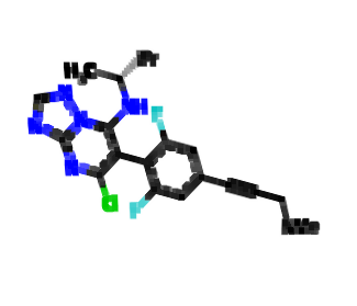 CNCC#Cc1cc(F)c(-c2c(Cl)nc3ncnn3c2N[C@H](C)C(C)C)c(F)c1